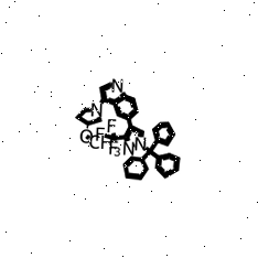 CO[C@@H]1CCN(c2ccnc3ccc(-c4cn(C(c5ccccc5)(c5ccccc5)C5C=CC=CC5)nc4C(F)(F)F)cc23)C1